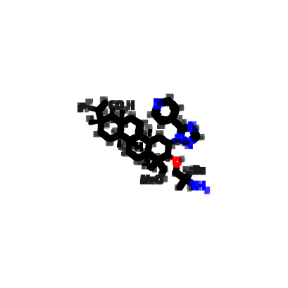 COCC1(C)[C@@H](OCC(C)(N)C(C)(C)C)[C@H](n2ncnc2-c2ccncc2)C[C@]2(C)C3=CC[C@@]4(C)[C@H](C(=O)O)[C@@](C)([C@H](C)C(C)C)CC[C@]4(C)[C@H]3CC[C@@H]12